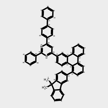 CC1(C)c2ccccc2-c2cc(-c3cccc4c5ccccc5c5cc(-c6cc(-c7ccc(-c8ccccc8)cc7)nc(-c7ccccc7)n6)ccc5c34)ccc21